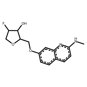 CNc1ccc2ccc(OCC3OCC(F)C3O)cc2n1